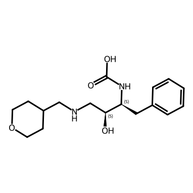 O=C(O)N[C@@H](Cc1ccccc1)[C@@H](O)CNCC1CCOCC1